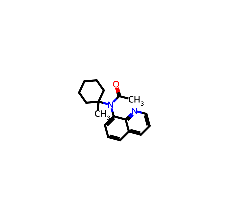 CC(=O)N(c1cccc2cccnc12)C1(C)CCCCC1